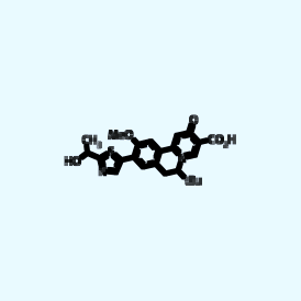 COc1cc2c(cc1-c1cnc(C(C)O)s1)CC(C(C)(C)C)n1cc(C(=O)O)c(=O)cc1-2